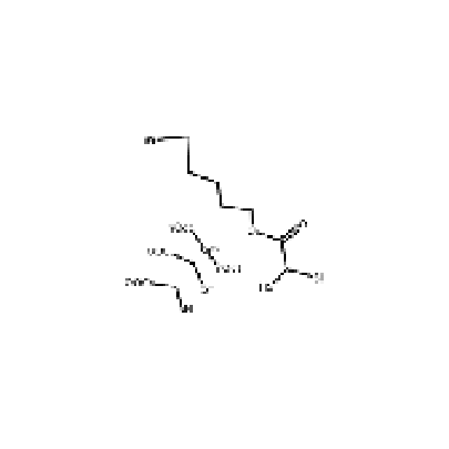 CC(C)CCCCCOC(=O)C(S)S.CCCCCCC[CH2][Sn+2][CH2]CCCCCCC.O=C([O-])CS.O=C([O-])CS